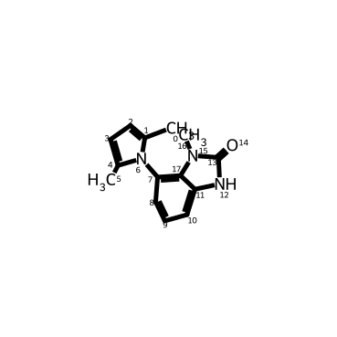 Cc1ccc(C)n1-c1cccc2[nH]c(=O)n(C)c12